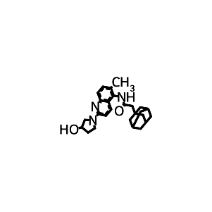 Cc1ccc2nc(N3CCC(O)C3)ccc2c1NC(=O)CC12CC3CC(CC(C3)C1)C2